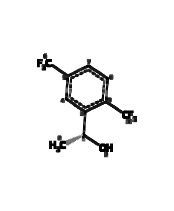 C[C@@H](O)c1cc(C(F)(F)F)ccc1C(F)(F)F